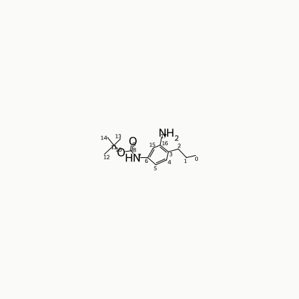 CCCc1ccc(NC(=O)OC(C)(C)C)cc1N